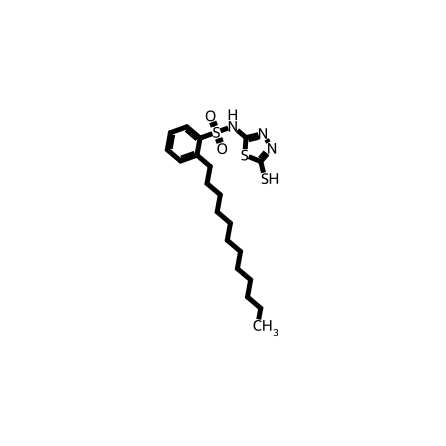 CCCCCCCCCCCCc1ccccc1S(=O)(=O)Nc1nnc(S)s1